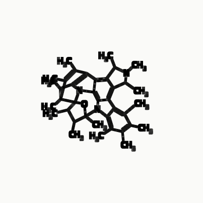 CC1=C(C)C2(C)C(C)c3c1c1c4c(c5c6c(C)c(C)c(C)c(C)c6n6c5c1n3C21OC6(C)C(C)C1C)C(C)N(C)C4C